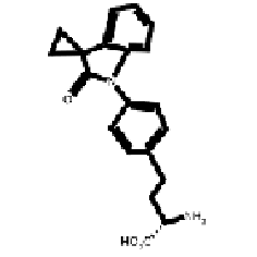 N[C@@H](CCc1ccc(N2C(=O)C3(CC3)c3ccccc32)cc1)C(=O)O